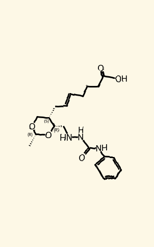 C[C@@H]1OC[C@H](CC=CCCCC(=O)O)[C@H](CNNC(=O)Nc2ccccc2)O1